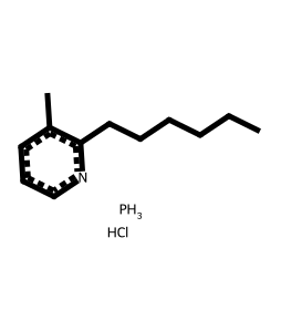 CCCCCCc1ncccc1C.Cl.P